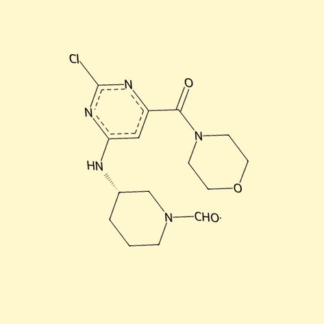 O=[C]N1CCC[C@H](Nc2cc(C(=O)N3CCOCC3)nc(Cl)n2)C1